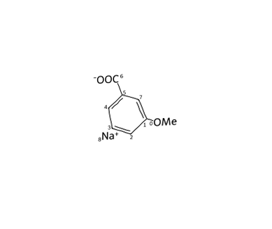 COc1cccc(C(=O)[O-])c1.[Na+]